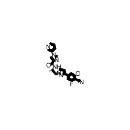 C[C@@H](Cn1ccc(-c2cc(F)c(C#N)c(Cl)c2)n1)NC(=O)c1cn(-c2cccnc2)cn1